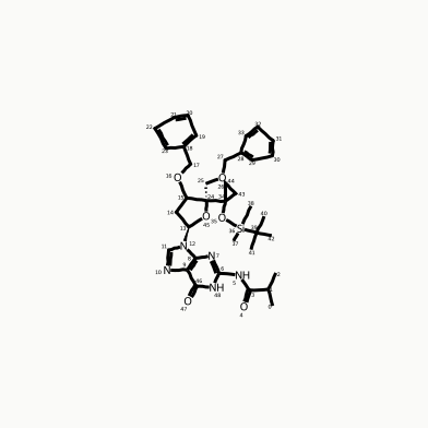 CC(C)C(=O)Nc1nc2c(ncn2[C@H]2CC(OCc3ccccc3)[C@@](COCc3ccccc3)(C3(O[Si](C)(C)C(C)(C)C)CC3)O2)c(=O)[nH]1